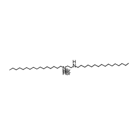 Br.Br.CCCCCCCCCCCCCCCCNCCNCCCCCCCCCCCCCCCC